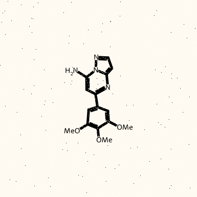 COc1cc(-c2cc(N)n3nccc3n2)cc(OC)c1OC